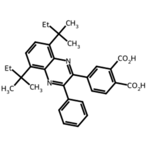 CCC(C)(C)c1ccc(C(C)(C)CC)c2nc(-c3ccc(C(=O)O)c(C(=O)O)c3)c(-c3ccccc3)nc12